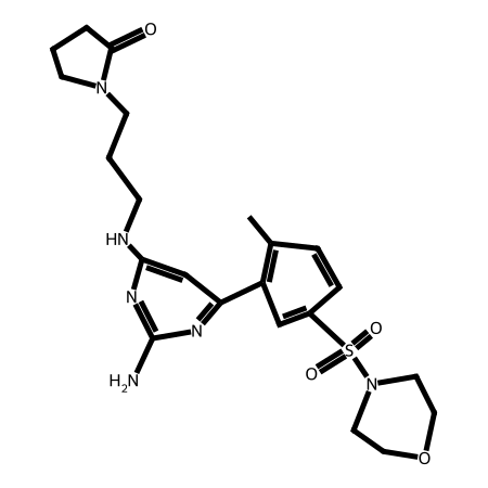 Cc1ccc(S(=O)(=O)N2CCOCC2)cc1-c1cc(NCCCN2CCCC2=O)nc(N)n1